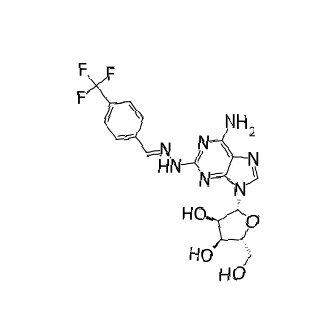 Nc1nc(N/N=C/c2ccc(C(F)(F)F)cc2)nc2c1ncn2[C@@H]1O[C@H](CO)[C@@H](O)[C@H]1O